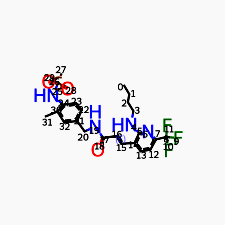 CCCCNc1nc(C(F)(F)F)ccc1/C=C/C(=O)NCc1ccc(NS(C)(=O)=O)c(C)c1